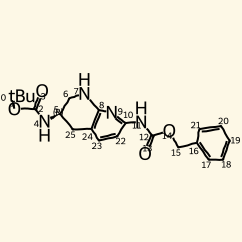 CC(C)(C)OC(=O)N[C@H]1CNc2nc(NC(=O)OCc3ccccc3)ccc2C1